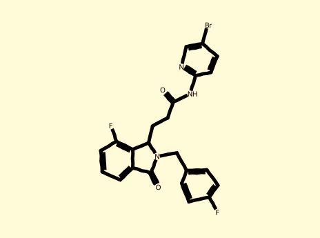 O=C(CCC1c2c(F)cccc2C(=O)N1Cc1ccc(F)cc1)Nc1ccc(Br)cn1